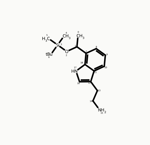 CC(O[Si](C)(C)C(C)(C)C)c1cccc2c(CCN)c[nH]c12